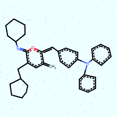 C=c1cc(CC2CCCCC2)/c(=N/C2CCCCC2)o/c1=C/c1ccc(N(c2ccccc2)c2ccccc2)cc1